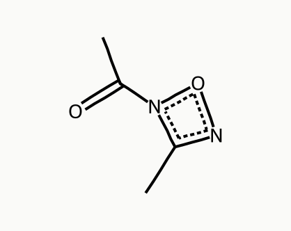 CC(=O)n1onc1C